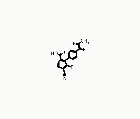 C/C(F)=C(\F)c1ccc(-c2c(C(=O)O)ccc(C#N)c2F)cc1